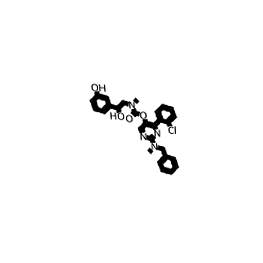 CN(CC(O)c1cccc(O)c1)C(=O)Oc1cnc(N(C)Cc2ccccc2)nc1-c1ccccc1Cl